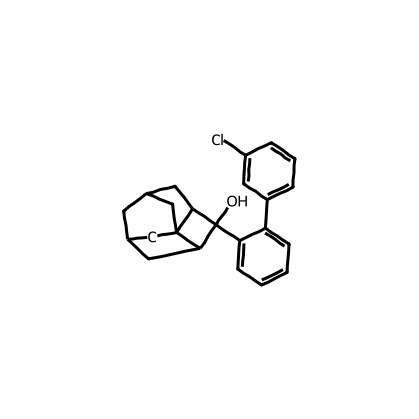 OC1(c2ccccc2-c2cccc(Cl)c2)C2CC3CC4CC1C2(C3)C4